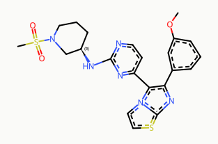 COc1cccc(-c2nc3sccn3c2-c2ccnc(N[C@@H]3CCCN(S(C)(=O)=O)C3)n2)c1